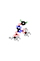 CC(C)(C)OC(=O)Oc1nn(C(=O)OC(C)(C)C)c2nc(Oc3ccc(F)cc3F)ncc12